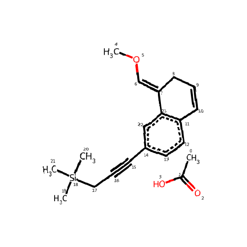 CC(=O)O.COC=C1CC=Cc2ccc(C#CC[Si](C)(C)C)cc21